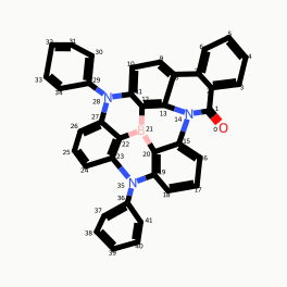 O=c1c2ccccc2c2ccc3c4c2n1-c1cccc2c1B4c1c(cccc1N3c1ccccc1)N2c1ccccc1